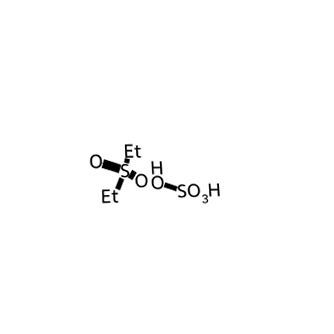 CCS(=O)(=O)CC.O=S(=O)(O)O